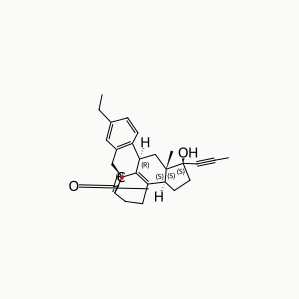 CC#C[C@]1(O)CC[C@H]2C3=C4[C@H](C[C@@]21C)c1ccc(CC)cc1C[C@@]41CCC(=O)C=C1CC3